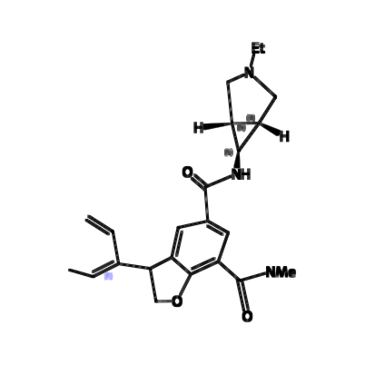 C=C/C(=C\C)C1COc2c(C(=O)NC)cc(C(=O)N[C@H]3[C@@H]4CN(CC)C[C@@H]43)cc21